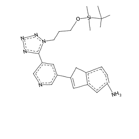 CC(C)(C)[Si](C)(C)OCCCn1nnnc1-c1cncc(C2=Cc3cc(N)ccc3C2)c1